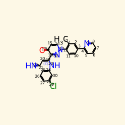 Cc1cc(-c2ccccn2)ccc1-n1ccc(=O)c(/C(=C/C=N)Nc2cccc(Cl)c2)n1